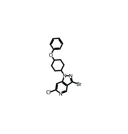 Clc1cc2c(cn1)c(Br)nn2C1CCC(Oc2ccccc2)CC1